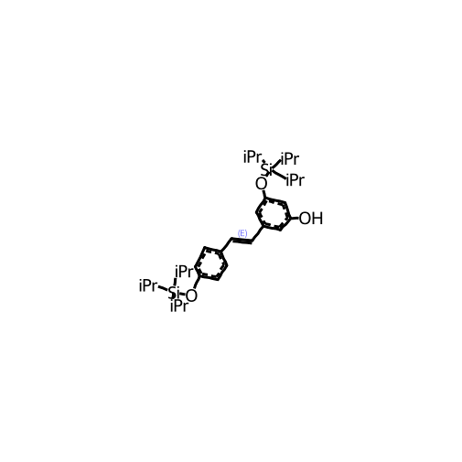 CC(C)[Si](Oc1ccc(/C=C/c2cc(O)cc(O[Si](C(C)C)(C(C)C)C(C)C)c2)cc1)(C(C)C)C(C)C